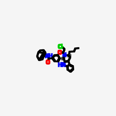 CCCC[C@H]1Cc2c([nH]c3ccccc23)[C@H](c2ccc(C(=O)NC34CC5CC(CC(C5)C3)C4)cc2)N1C(=O)CCl